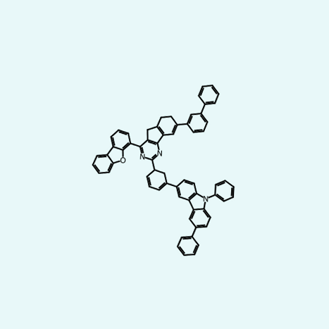 C1=CC(c2nc3c(c(-c4cccc5c4oc4ccccc45)n2)CC2=C3C=C(c3cccc(-c4ccccc4)c3)CC2)CC(c2ccc3c(c2)c2cc(-c4ccccc4)ccc2n3-c2ccccc2)=C1